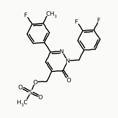 Cc1cc(-c2cc(COS(C)(=O)=O)c(=O)n(Cc3ccc(F)c(F)c3)n2)ccc1F